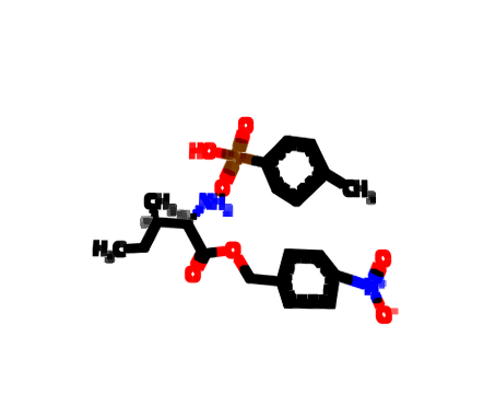 CC[C@H](C)[C@H](N)C(=O)OCc1ccc([N+](=O)[O-])cc1.Cc1ccc(S(=O)(=O)O)cc1